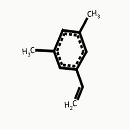 C=Cc1cc(C)[c]c(C)c1